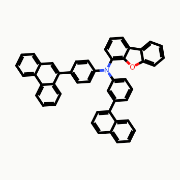 c1cc(-c2cccc3ccccc23)cc(N(c2ccc(-c3cc4ccccc4c4ccccc34)cc2)c2cccc3c2oc2ccccc23)c1